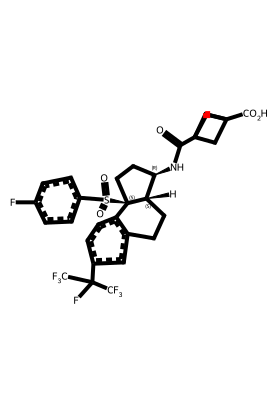 O=C(O)C12CC(C(=O)N[C@@H]3CC[C@@]4(S(=O)(=O)c5ccc(F)cc5)c5ccc(C(F)(C(F)(F)F)C(F)(F)F)cc5CC[C@@H]34)(C1)C2